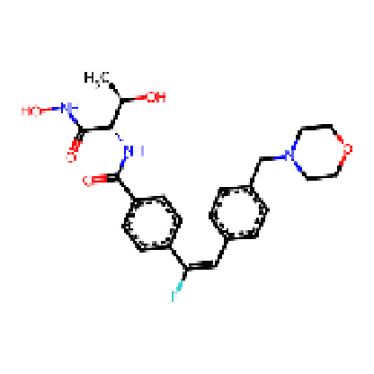 C[C@@H](O)[C@H](NC(=O)c1ccc(/C(F)=C\c2ccc(CN3CCOCC3)cc2)cc1)C(=O)NO